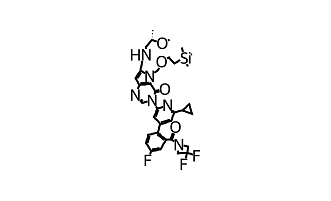 CO[C@@H](C)CNCc1cc2ncn(-c3cc(-c4ccc(F)cc4C(=O)N4CC(F)(F)C4)cc(C4CC4)n3)c(=O)c2n1COCC[Si](C)(C)C